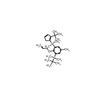 C=CCOc1c([Si](C)(C)C2=C(C(C)(C)C)C=CC2)cc(C)cc1[Si](C)(C)C(C)(C)C